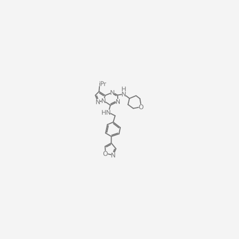 CC(C)c1cnn2c(NCc3ccc(-c4cnoc4)cc3)nc(NC3CCOCC3)nc12